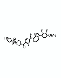 COc1ccc(-c2cnc3c(Nc4ccc(C(=O)N5CCN(S(=O)(=O)[C@H]6CCNC6)CC5)c(C)c4)nccn23)c(F)c1F